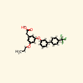 CCCOc1cc(CC(=O)O)cc(Oc2cccc(-c3ccc(C(F)(F)F)cc3)c2)c1